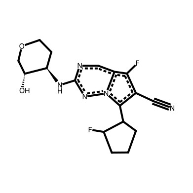 N#Cc1c(F)c2cnc(N[C@@H]3CCOC[C@H]3O)nn2c1C1CCCC1F